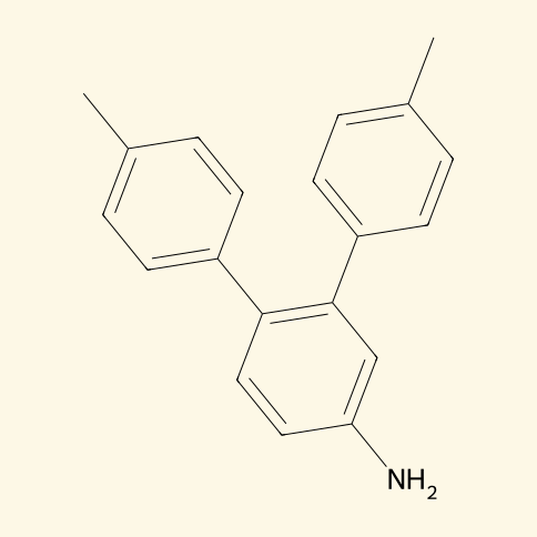 Cc1ccc(-c2ccc(N)cc2-c2ccc(C)cc2)cc1